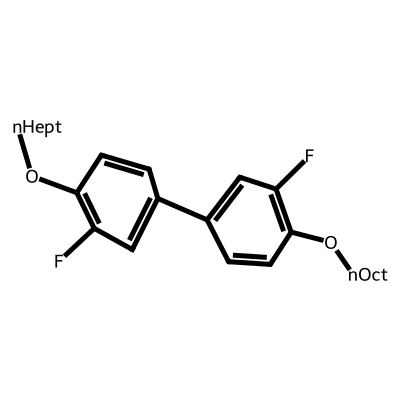 CCCCCCCCOc1ccc(-c2ccc(OCCCCCCC)c(F)c2)cc1F